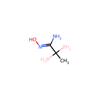 BC(B)(C)/C(N)=N/O